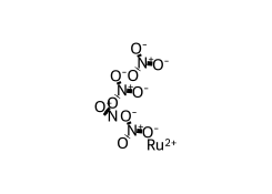 N#[O+].O=[N+]([O-])[O-].O=[N+]([O-])[O-].O=[N+]([O-])[O-].[Ru+2]